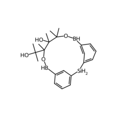 CC(C)(O)C1(C)OBc2cccc(c2)[SiH2]c2cccc(c2)BOC(C)(C)C1(C)O